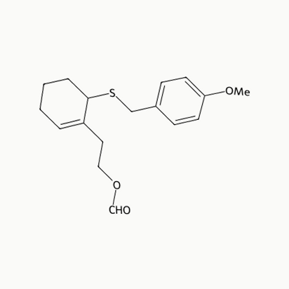 COc1ccc(CSC2CCCC=C2CCOC=O)cc1